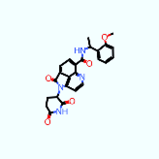 COc1ccccc1C(C)NC(=O)c1ccc2c3c(ccnc13)N(C1CCC(=O)NC1=O)C2=O